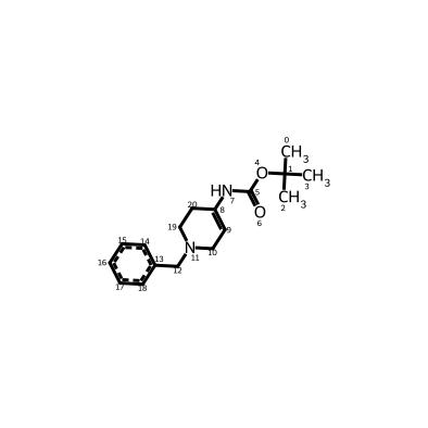 CC(C)(C)OC(=O)NC1=CCN(Cc2ccccc2)CC1